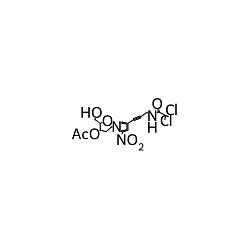 CC(=O)O[C@H]1C[C@H](n2cc(C#CCNC(=O)C(Cl)Cl)cc2[N+](=O)[O-])O[C@@H]1CO